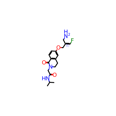 CC(C)NC(=O)CN1CCc2cc(OC/C(=C/F)CN)ccc2C1=O